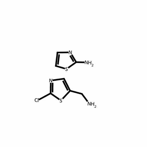 NCc1cnc(Cl)s1.Nc1nccs1